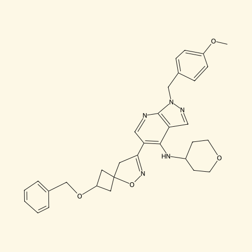 COc1ccc(Cn2ncc3c(NC4CCOCC4)c(C4=NOC5(C4)CC(OCc4ccccc4)C5)cnc32)cc1